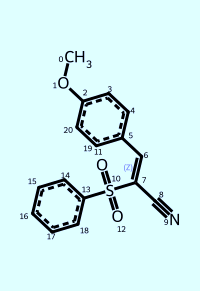 COc1ccc(/C=C(/C#N)S(=O)(=O)c2ccccc2)cc1